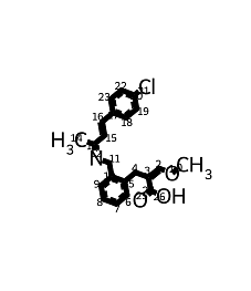 COC=C(Cc1ccccc1CN=C(C)C=Cc1ccc(Cl)cc1)C(=O)O